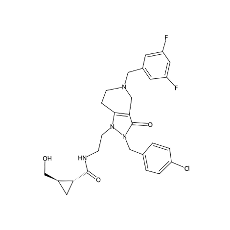 O=C(NCCn1c2c(c(=O)n1Cc1ccc(Cl)cc1)CN(Cc1cc(F)cc(F)c1)CC2)[C@@H]1C[C@H]1CO